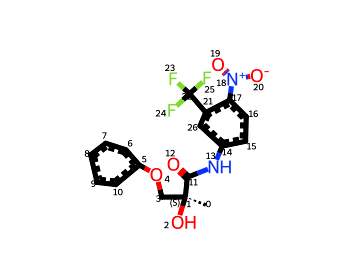 C[C@](O)(COc1ccccc1)C(=O)Nc1ccc([N+](=O)[O-])c(C(F)(F)F)c1